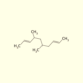 CC=CC[C](C)CC(C)C=CC